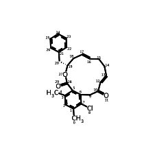 Cc1cc(C)c2c(c1Cl)CC(=O)/C=C/CC/C=C/C[C@@H](Cc1ccccc1)OC2=O